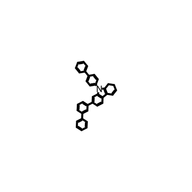 C1=Cc2c(n(-c3ccc(-c4ccccc4)cc3)c3cc(-c4cccc(-c5ccccc5)c4)ccc23)CC1